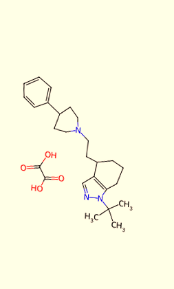 CC(C)(C)n1ncc2c1CCCC2CCN1CCC(c2ccccc2)CC1.O=C(O)C(=O)O